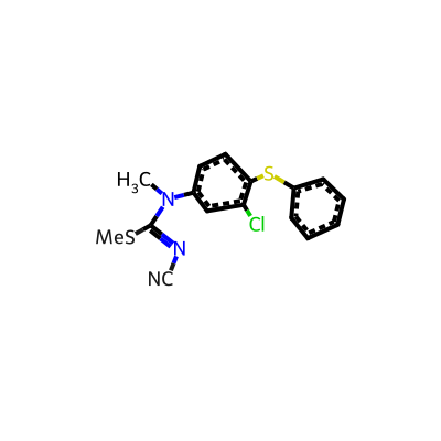 CSC(=NC#N)N(C)c1ccc(Sc2ccccc2)c(Cl)c1